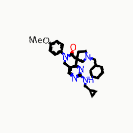 COc1ccc(N2Cc3cnc(NCC4CC4)nc3C3(CCN(CC4CCCCC4)C3)C2=O)cc1